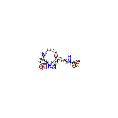 CN1CCCCCOc2cc3c(ncnc3cc2OCCCNCCS(C)(=O)=O)Nc2c(ccc3c2OCO3)C1